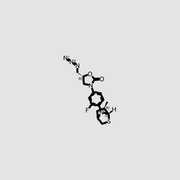 C[C@@H]1CC2CS[C@@H]1N2c1ccc(N2C[C@H](CN=[N+]=[N-])OC2=O)cc1F